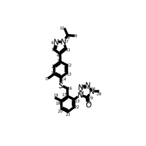 Cc1cc(-c2cnn(C(C)C)c2)ccc1SCc1c(C)cccc1-n1nnn(C)c1=O